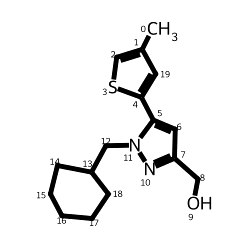 Cc1csc(-c2cc(CO)nn2CC2CCCCC2)c1